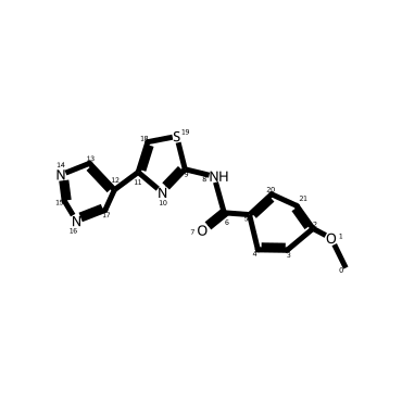 COc1ccc(C(=O)Nc2nc(-c3cncnc3)cs2)cc1